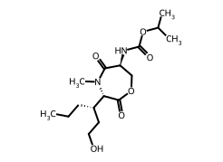 CCC[C@@H](CCO)[C@H]1C(=O)OC[C@H](NC(=O)OC(C)C)C(=O)N1C